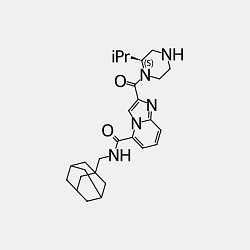 CC(C)[C@H]1CNCCN1C(=O)c1cn2c(C(=O)NCC34CC5CC(CC(C5)C3)C4)cccc2n1